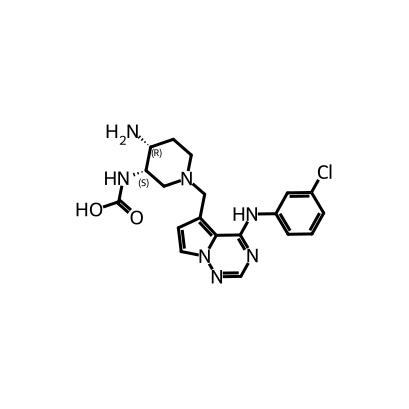 N[C@@H]1CCN(Cc2ccn3ncnc(Nc4cccc(Cl)c4)c23)C[C@@H]1NC(=O)O